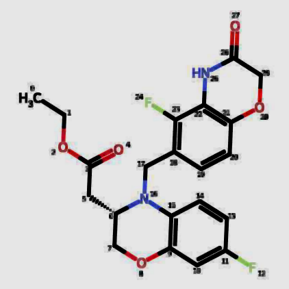 CCOC(=O)C[C@H]1COc2cc(F)ccc2N1Cc1ccc2c(c1F)NC(=O)CO2